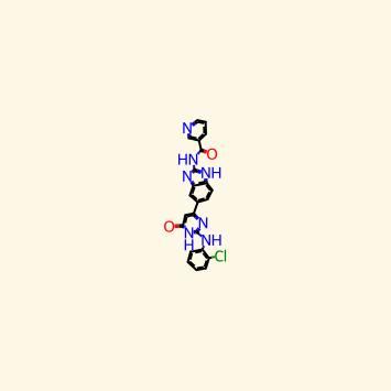 O=C(Nc1nc2cc(-c3cc(=O)[nH]c(Nc4ccccc4Cl)n3)ccc2[nH]1)c1cccnc1